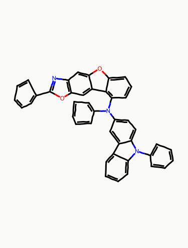 c1ccc(-c2nc3cc4oc5cccc(N(c6ccccc6)c6ccc7c(c6)c6ccccc6n7-c6ccccc6)c5c4cc3o2)cc1